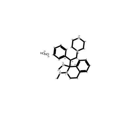 CON1CCc2ccccc2C1(OC)C(CN1CCOCC1)c1ccccc1.Cl.Cl